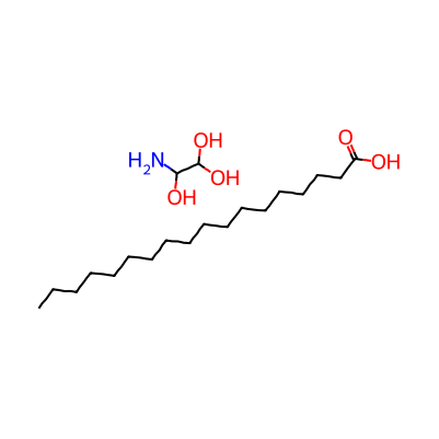 CCCCCCCCCCCCCCCCCC(=O)O.NC(O)C(O)O